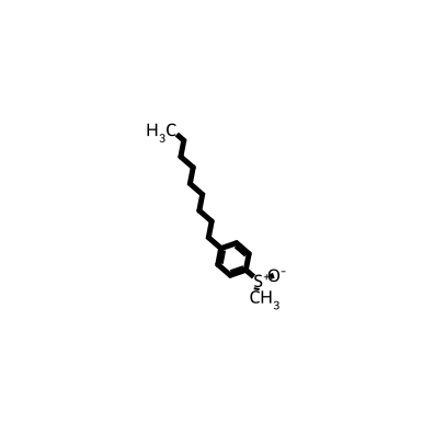 CCCCCCCCCc1ccc([S+](C)[O-])cc1